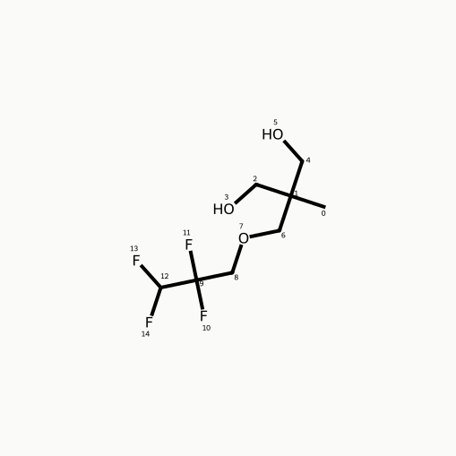 CC(CO)(CO)COCC(F)(F)C(F)F